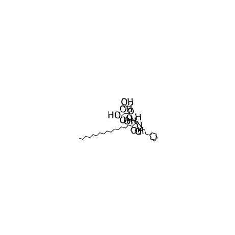 CCCCCCCCCCCCCCC(O)C(O)C(COC(OC(C)CO)C(O)C(O)O)NC(=O)CCc1ccccc1